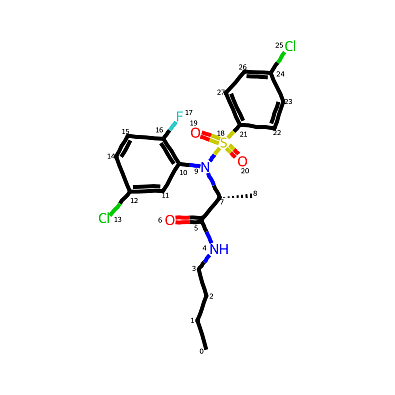 CCCCNC(=O)[C@@H](C)N(c1cc(Cl)ccc1F)S(=O)(=O)c1ccc(Cl)cc1